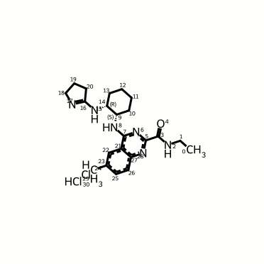 CCNC(=O)c1nc(N[C@H]2CCCC[C@H]2NC2=NCCC2)c2cc(C)ccc2n1.Cl.Cl